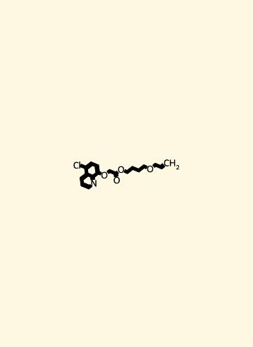 C=CCOCCCCOC(=O)COc1ccc(Cl)c2cccnc12